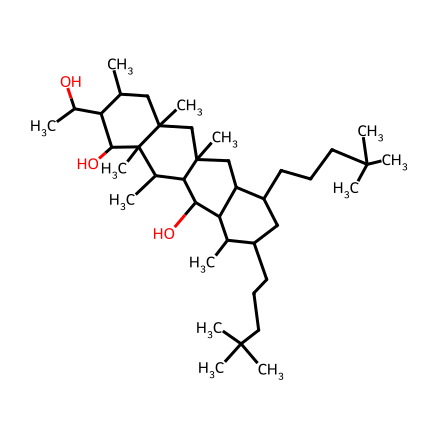 CC(O)C1C(C)CC2(C)CC3(C)CC4C(CCCC(C)(C)C)CC(CCCC(C)(C)C)C(C)C4C(O)C3C(C)C2(C)C1O